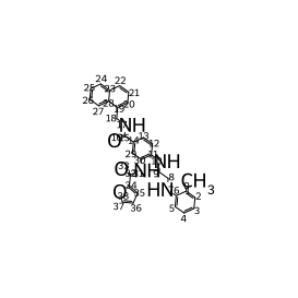 Cc1ccccc1NCCNc1ccc(C(=O)NCc2cccc3ccccc23)cc1NC(=O)c1ccco1